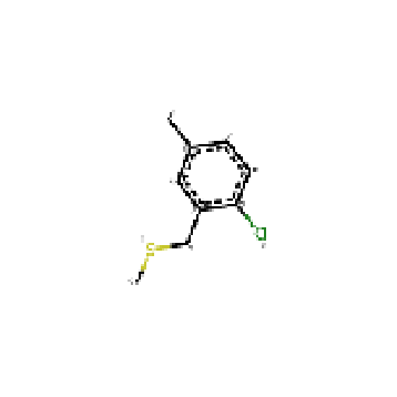 CSCc1cc(C)ccc1Cl